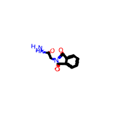 NNC(=O)CN1C(=O)c2ccccc2C1=O